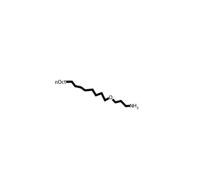 CCCCCCCCCCCCCCCCOCCCN